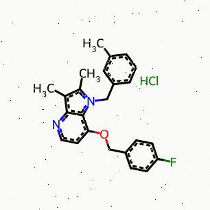 Cc1cccc(Cn2c(C)c(C)c3nccc(OCc4ccc(F)cc4)c32)c1.Cl